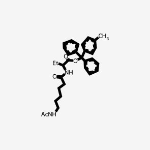 CCC(NC(=O)CCCCCNC(C)=O)C(=O)OC(c1ccccc1)(c1ccccc1)c1ccc(C)cc1